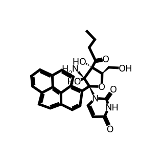 CCCC(=O)[C@@]1(O)[C@@H](CO)O[C@@](c2ccc3ccc4cccc5ccc2c3c45)(n2ccc(=O)[nH]c2=O)[C@]1(N)O